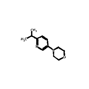 CC(C)c1ccc(N2CCOCC2)cn1